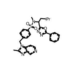 Cc1nc2cnccc2n1Cc1ccc(S(=O)(=O)N(C)C(CC(C)C)c2nnc(-c3ccccc3)o2)cc1